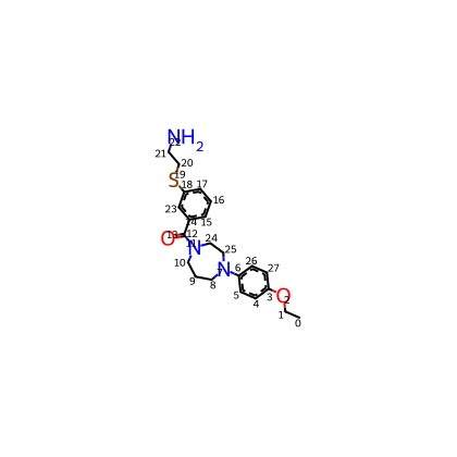 CCOc1ccc(N2CCCN(C(=O)c3cccc(SCCN)c3)CC2)cc1